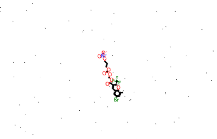 Cc1cc(Br)cc2c1O[C@H](C(F)(F)F)C(C(=O)OCOC(=O)OCCCO[N+](=O)[O-])=C2